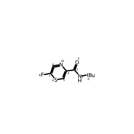 CC(C)(C)NC(=O)C1=CSC(F)=C=N1